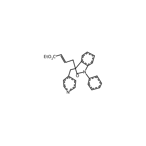 CCOC(=O)C=CCC1(Cc2ccncc2)C(=O)N(c2ccccc2)c2ccccc21